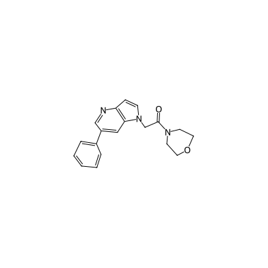 O=C(Cn1ccc2ncc(-c3ccccc3)cc21)N1CCOCC1